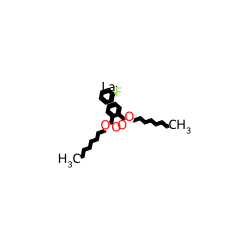 CCCCCCCCOC(=O)c1ccccc1C(=O)OCCCCCCCC.Fc1ccccc1.[La]